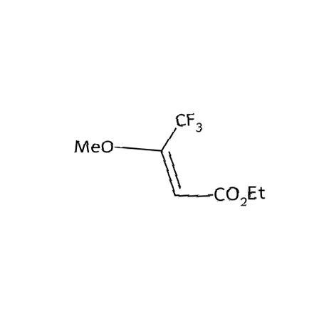 CCOC(=O)/C=C(/OC)C(F)(F)F